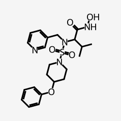 CC(C)C(C(=O)NO)N(Cc1cccnc1)S(=O)(=O)N1CCC(Oc2ccccc2)CC1